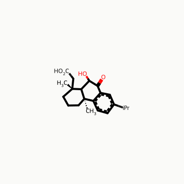 CC(C)c1ccc2c(c1)C(=O)C(O)C1[C@@](C)(CC(=O)O)CCC[C@]21C